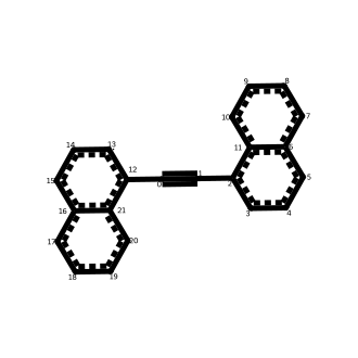 C(#Cc1cccc2ccccc12)c1[c]ccc2ccccc12